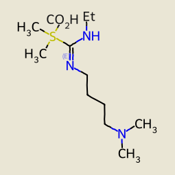 CCN/C(=N\CCCCN(C)C)S(C)(C)C(=O)O